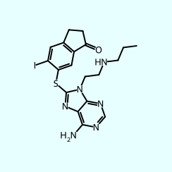 CCCNCCn1c(Sc2cc3c(cc2I)CCC3=O)nc2c(N)ncnc21